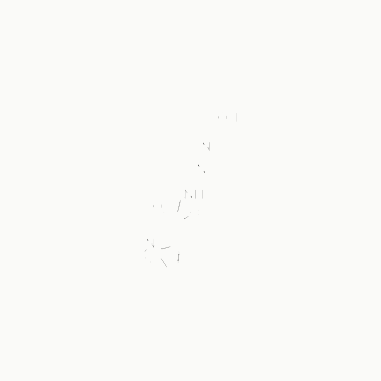 O=C1CC(c2cccc3scnc23)CC(=O)C1=CNCCN1CCN(CCO)CC1